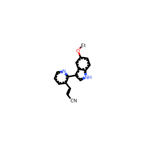 CCOc1ccc2[nH]cc(-c3ncccc3C=CC#N)c2c1